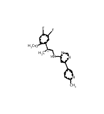 COc1cc(F)c(F)cc1[C@H](C)CNc1cc(-c2ccc(C)nc2)ncn1